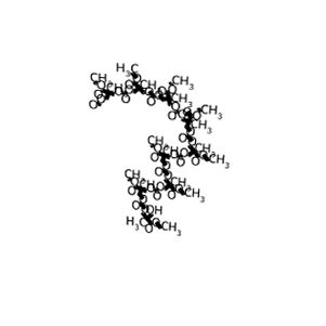 CCOC(=O)C(C)(CO)COC(=O)OCC(C)(COC(=O)OCC(C)(COC(=O)OCC(C)(COC(=O)OCC(C)(COC(=O)OCC(C)(COC(=O)OCC(C)(COC(=O)OCC(C)(COC(=O)OCC(C)(COC=O)C(=O)OCC)C(=O)OCC)C(=O)OCC)C(=O)OCC)C(=O)OCC)C(=O)OCC)C(=O)OCC)C(=O)OCC